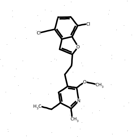 CCc1cc(CCc2cc3c(Cl)ccc(Cl)c3o2)c(OC)nc1C